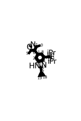 Cc1noc(C)c1-c1cc(C(F)(C(C)C)C(C)C)c2nc(C3CC3)[nH]c2c1